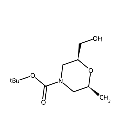 C[C@H]1CN(C(=O)OC(C)(C)C)C[C@@H](CO)O1